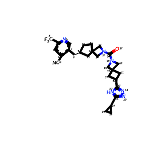 N#Cc1cc(C(F)(F)F)ncc1C[C@@H]1CCC2(C1)CN(C(=O)N1CC3(CC(c4nnc(C5CC5)[nH]4)C3)C1)C2